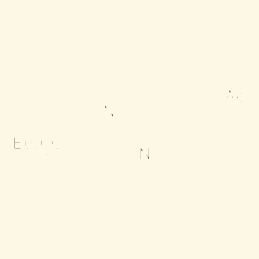 CCOC(=O)c1cn2ccc(C(C)=O)cc2n1